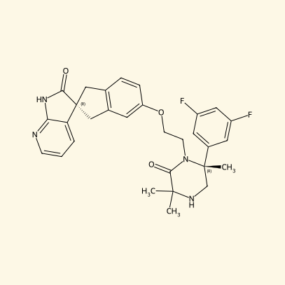 CC1(C)NC[C@@](C)(c2cc(F)cc(F)c2)N(CCOc2ccc3c(c2)C[C@@]2(C3)C(=O)Nc3ncccc32)C1=O